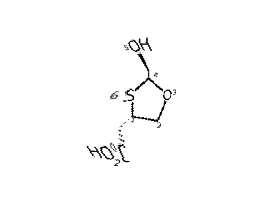 O=C(O)[C@H]1CO[C@H](O)S1